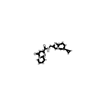 O=C(NCc1cn2cc(C3CC3)ccc2n1)c1cc(=O)n2ccccc2n1